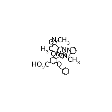 COc1cc(C(=O)O)cc(OCc2ccccc2)c1-c1cn([C@@H](C)c2ccccn2)c2ncc(-c3c(C)noc3C)cc12